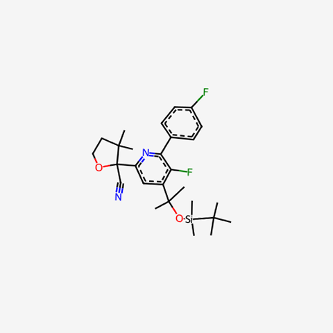 CC(C)(O[Si](C)(C)C(C)(C)C)c1cc(C2(C#N)OCCC2(C)C)nc(-c2ccc(F)cc2)c1F